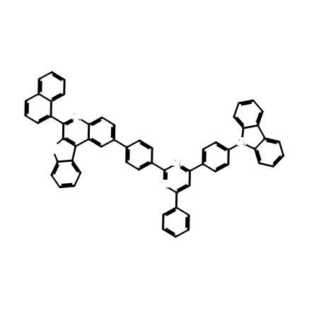 c1ccc(-c2cc(-c3ccc(-n4c5ccccc5c5ccccc54)cc3)nc(-c3ccc(-c4ccc5nc(-c6cccc7ccccc67)c6oc7ccccc7c6c5c4)cc3)n2)cc1